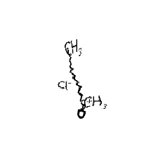 CCCCCCCCCCCCCCCC[S+](C)c1ccccc1.[Cl-]